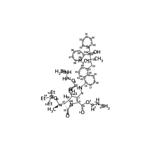 BNPOC(=O)C1=C(CN(C(=O)OPNB)c2cccc3c(CC(C)(C)[Si](O)(c4ccccc4)c4ccccc4)cccc23)[C@H](C)[C@@H]2[C@@H]([C@@H](C)O[Si](CC)(CC)CC)C(=O)N12